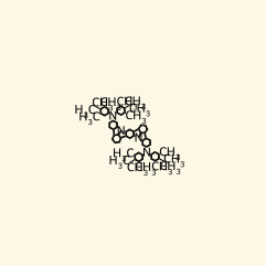 Cc1cc(N(c2cc(C)c(C(C)C)c(C)c2)c2ccc3c4cccc5c6cc7c(cc6n(c3c2)c45)c2cccc3c4ccc(N(c5cc(C)c(C(C)C)c(C)c5)c5cc(C)c(C(C)C)c(C)c5)cc4n7c32)cc(C)c1C(C)C